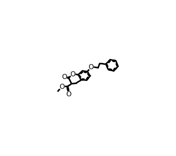 COC(=O)C1Cc2ccc(OCCc3ccccc3)cc2OC1=O